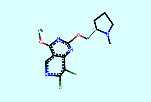 CN1CCC[C@H]1COc1nc(OC(C)(C)C)c2cnc(Cl)c(F)c2n1